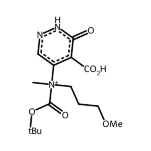 COCCC[N+](C)(C(=O)OC(C)(C)C)c1cn[nH]c(=O)c1C(=O)O